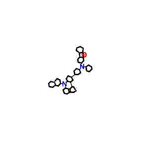 c1ccc(-c2cc(-c3ccc(N(c4ccccc4)c4ccc5c(c4)oc4ccccc45)cc3)ccc2N(c2ccccc2)c2ccc3ccccc3c2)cc1